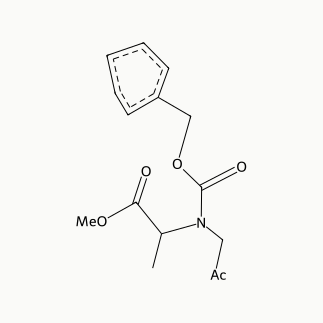 COC(=O)C(C)N(CC(C)=O)C(=O)OCc1ccccc1